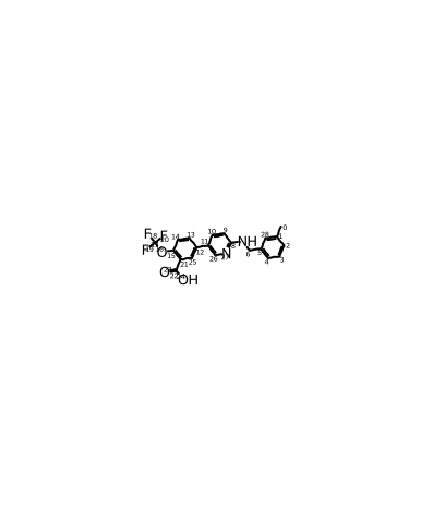 Cc1cccc(CNc2ccc(-c3ccc(OC(F)(F)F)c(C(=O)O)c3)cn2)c1